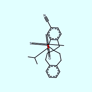 CC(C)N1C(=O)C2(NC1=S)c1cc(C#N)ccc1CC21CCc2ccccc2CC1